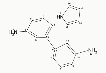 Nc1cccc(-c2cccc(N)c2)c1.c1cc[nH]c1